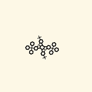 CC(C)(C)c1ccc2c3c4c5ccc(C(c6ccccc6)(c6ccccc6)c6ccccc6)cc5n5c6cc(C(C)(C)C)ccc6c(c6c7ccc(C(c8ccccc8)(c8ccccc8)c8ccccc8)cc7n(c2c1)c36)c45